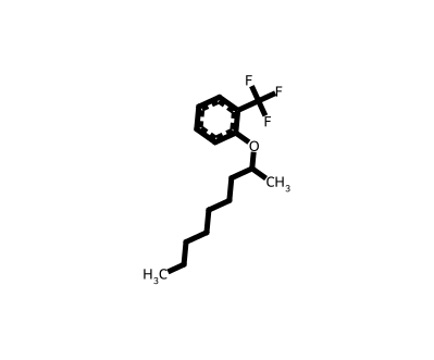 CCCCCCCC(C)Oc1ccccc1C(F)(F)F